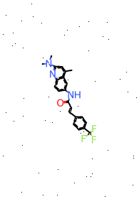 Cc1cc(N(C)C)nc2ccc(NC(=O)/C=C/c3ccc(C(F)(F)F)cc3)cc12